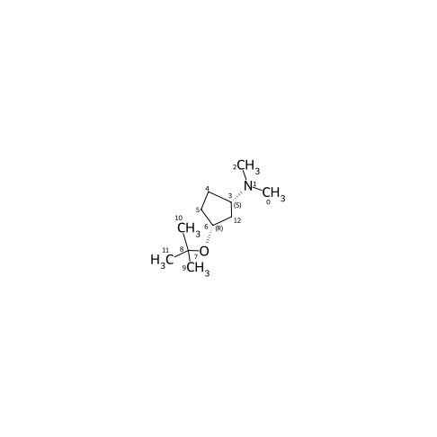 CN(C)[C@H]1CC[C@@H](OC(C)(C)C)C1